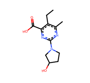 CCc1c(C)nc(N2CCC(O)C2)nc1C(=O)O